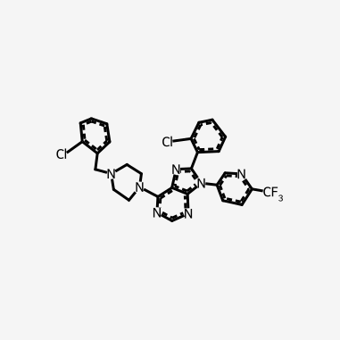 FC(F)(F)c1ccc(-n2c(-c3ccccc3Cl)nc3c(N4CCN(Cc5ccccc5Cl)CC4)ncnc32)cn1